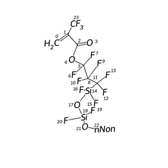 C=C(C(=O)OC(F)(F)C(F)(F)C(F)(F)[Si](F)(F)O[Si](F)(F)OCCCCCCCCC)C(F)(F)F